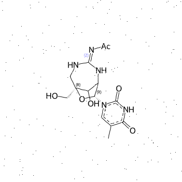 CC(=O)/N=C1/NC[C@]2(CO)O[C@@H](n3cc(C)c(=O)[nH]c3=O)C(N1)C2O